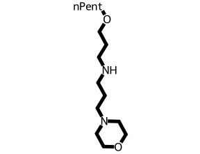 CCCCCOCCCNCCCN1CCOCC1